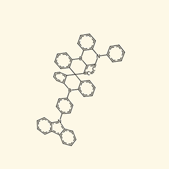 c1ccc(N2c3ccccc3B3c4ccccc4C4(c5ccccc5B(c5ccc(-n6c7ccccc7c7ccccc76)cc5)c5ccccc54)c4cccc2c43)cc1